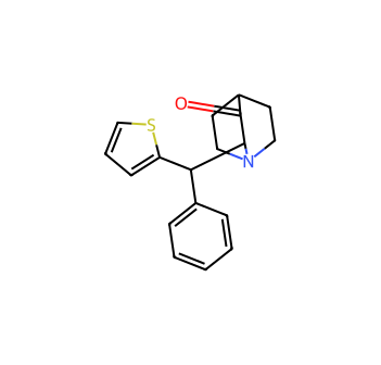 O=C1C2CCN(CC2)C1C(c1ccccc1)c1cccs1